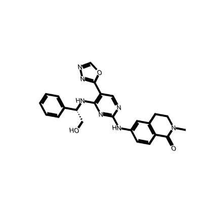 CN1CCc2cc(Nc3ncc(-c4nnco4)c(N[C@H](CO)c4ccccc4)n3)ccc2C1=O